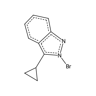 Brn1nc2ccccc2c1C1CC1